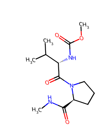 CNC(=O)[C@@H]1CCCN1C(=O)[C@@H](NC(=O)OC)C(C)C